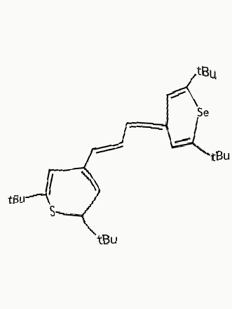 CC(C)(C)C1=CC(C=CC=C2C=C(C(C)(C)C)[Se]C(C(C)(C)C)=C2)=CC(C(C)(C)C)S1